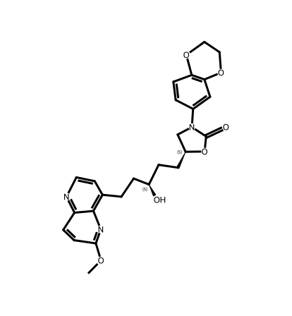 COc1ccc2nccc(CC[C@H](O)CC[C@H]3CN(c4ccc5c(c4)OCCO5)C(=O)O3)c2n1